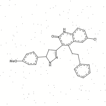 COc1ccc(C2CC(c3c(CCc4ccccc4)c4cc(Cl)ccc4[nH]c3=O)=NN2)cc1